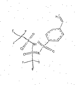 C=Cc1ccc(S(=O)(=O)N=S(=O)(NS(=O)(=O)C(F)(F)F)C(F)(F)F)cc1